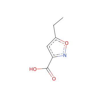 CCc1cc(C(=O)O)no1